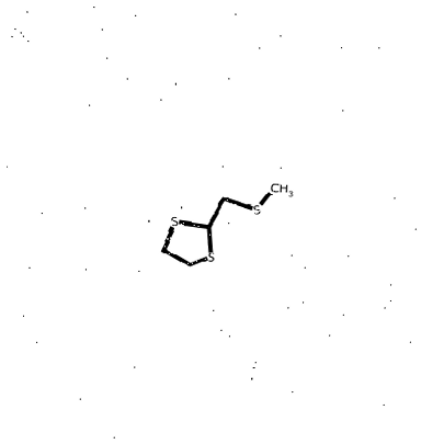 CSCC1SCCS1